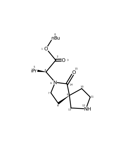 CCCCOC(=O)[C@H](C(C)C)N1CC[C@]2(CCNC2)C1=O